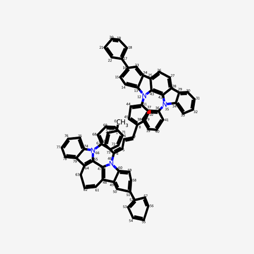 CC\C=C/C(=C\C=C\c1ccc(-n2c3ccc(-c4ccccc4)cc3c3ccc4c5ccccc5n(-c5ccccc5)c4c32)cc1)n1c2c(c3cc(-c4ccccc4)ccc31)C=CCc1c-2n(C2=CC=CC=CC2)c2ccccc12